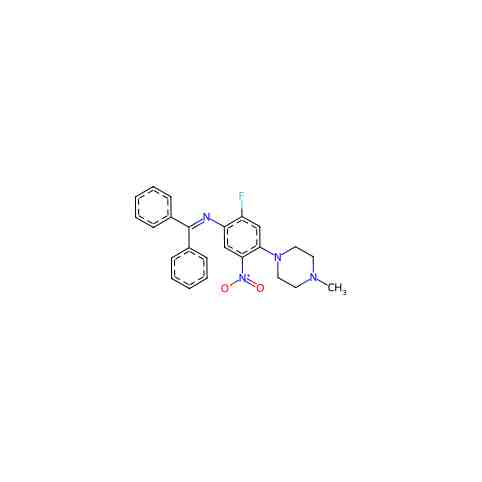 CN1CCN(c2cc(F)c(N=C(c3ccccc3)c3ccccc3)cc2[N+](=O)[O-])CC1